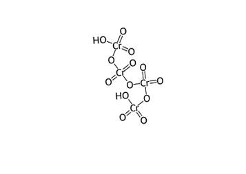 [O]=[Cr](=[O])([OH])[O][Cr](=[O])(=[O])[O][Cr](=[O])(=[O])[O][Cr](=[O])(=[O])[OH]